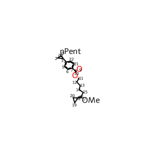 CCCCC[C@H]1CC1c1ccc(C(=O)OCCCCCC(OC)=C2CC2)cc1